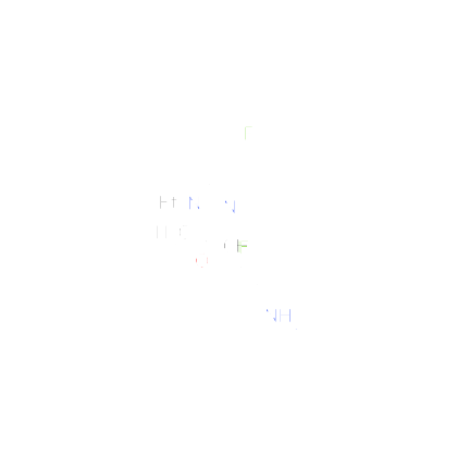 CCn1c(C(C)(C)Oc2ccc(N)cc2F)nc2cc(F)ccc21